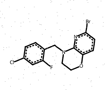 Fc1cc(Cl)ccc1CN1CCOc2ccc(Br)nc21